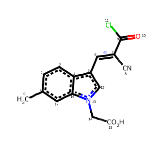 Cc1ccc2c(/C=C(\C#N)C(=O)Cl)cn(CC(=O)O)c2c1